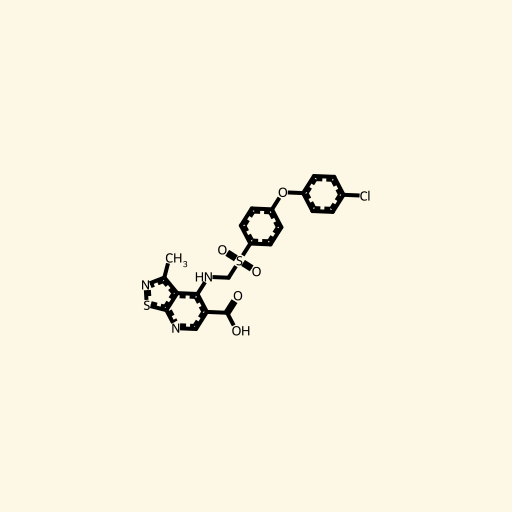 Cc1nsc2ncc(C(=O)O)c(NCS(=O)(=O)c3ccc(Oc4ccc(Cl)cc4)cc3)c12